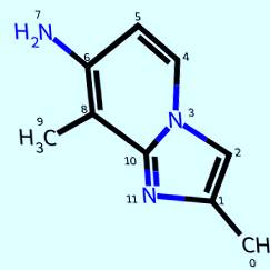 Cc1cn2ccc(N)c(C)c2n1